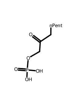 CCCCCCC(=O)COP(=O)(O)O